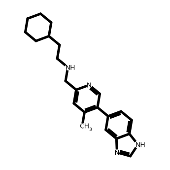 Cc1cc(CNCCC2CCCCC2)ncc1-c1ccc2[nH]cnc2c1